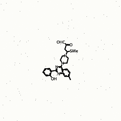 CSC(CC(=O)C=O)N1CCN(c2nc(-c3ccccc3O)nc3cc(C)ccc23)CC1